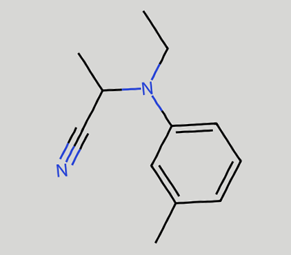 CCN(c1cccc(C)c1)C(C)C#N